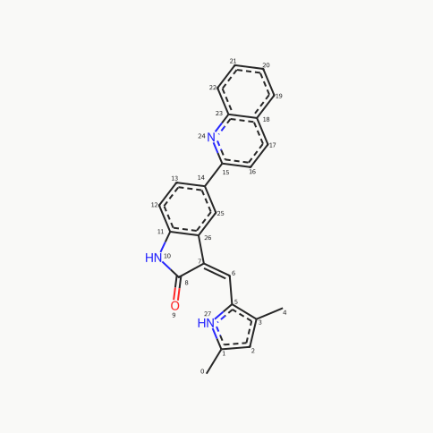 Cc1cc(C)c(/C=C2\C(=O)Nc3ccc(-c4ccc5ccccc5n4)cc32)[nH]1